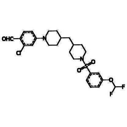 O=Cc1ccc(N2CCC(CC3CCN(S(=O)(=O)c4cccc(OC(F)F)c4)CC3)CC2)cc1Cl